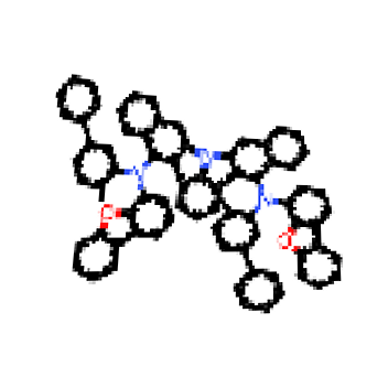 Cc1ccc(-c2ccccc2)cc1N(c1cccc2c1oc1ccccc12)c1c2ccccc2cc2c1c1cccc3c4c(N(c5cc(-c6ccccc6)ccc5C)c5cccc6c5oc5ccccc56)c5ccccc5cc4n2c13